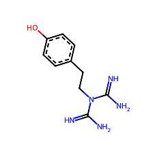 N=C(N)N(CCc1ccc(O)cc1)C(=N)N